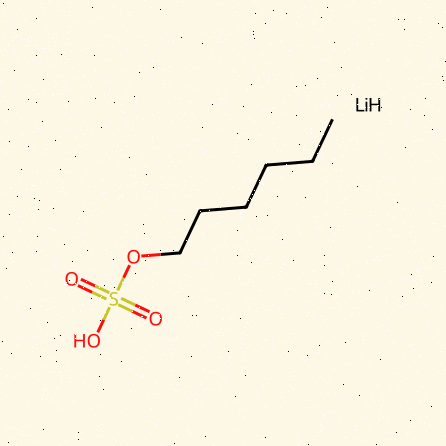 CCCCCCOS(=O)(=O)O.[LiH]